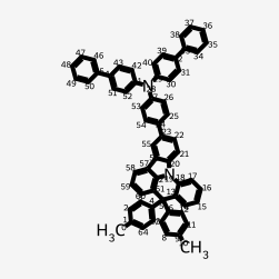 Cc1ccc(C2(c3ccc(C)cc3)c3ccccc3-n3c4ccc(-c5ccc(N(c6ccc(-c7ccccc7)cc6)c6ccc(-c7ccccc7)cc6)cc5)cc4c4cccc2c43)cc1